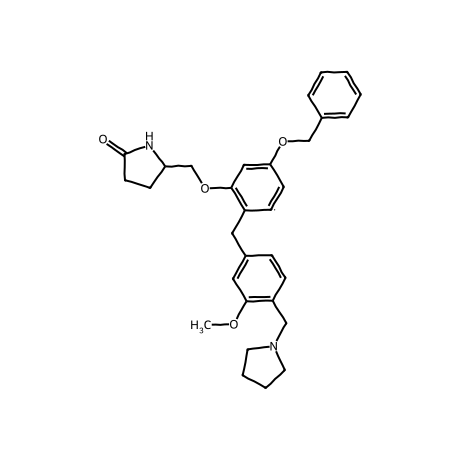 COc1cc(Cc2[c]cc(OCc3ccccc3)cc2OCC2CCC(=O)N2)ccc1CN1CCCC1